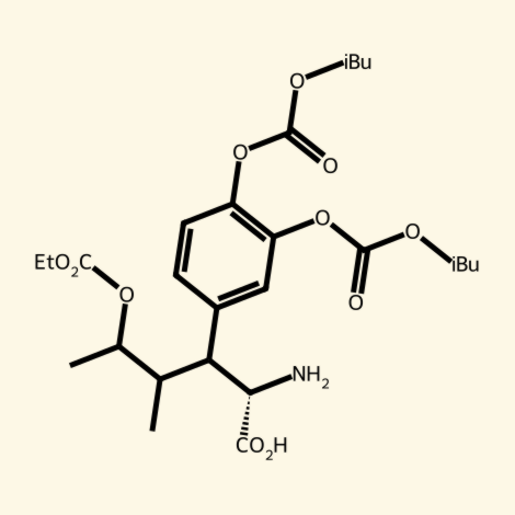 CCOC(=O)OC(C)C(C)C(c1ccc(OC(=O)OC(C)CC)c(OC(=O)OC(C)CC)c1)[C@H](N)C(=O)O